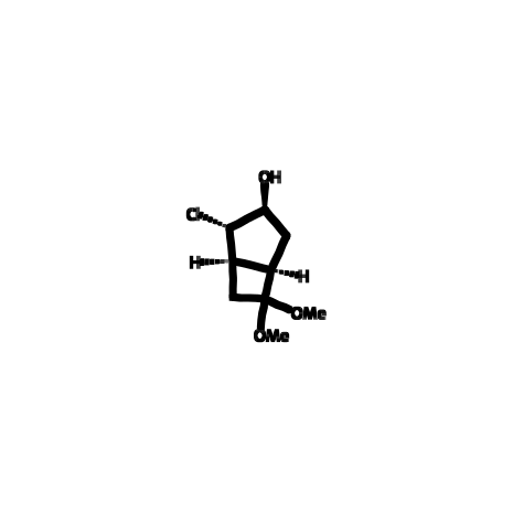 COC1(OC)C[C@H]2[C@H](Cl)[C@@H](O)C[C@H]21